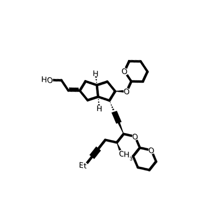 CCC#CC[C@H](C)[C@@H](C#C[C@@H]1[C@H]2CC(=CCO)C[C@H]2C[C@H]1OC1CCCCO1)OC1CCCCO1